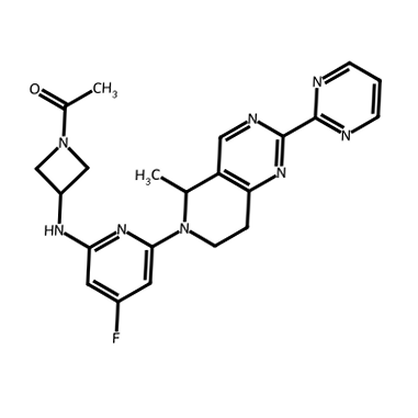 CC(=O)N1CC(Nc2cc(F)cc(N3CCc4nc(-c5ncccn5)ncc4C3C)n2)C1